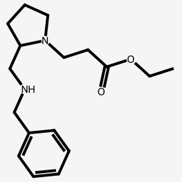 CCOC(=O)CCN1CCCC1CNCc1ccccc1